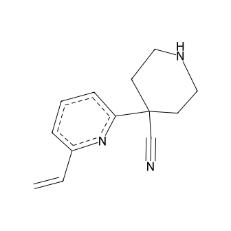 C=Cc1cccc(C2(C#N)CCNCC2)n1